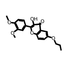 CCCOc1ccc2oc(-c3ccc(OC)c(OC)c3)c(O)c(=O)c2c1